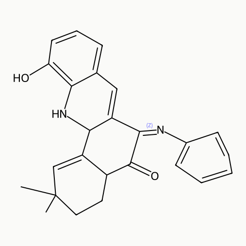 CC1(C)C=C2C(CC1)C(=O)/C(=N\c1ccccc1)C1=Cc3cccc(O)c3NC12